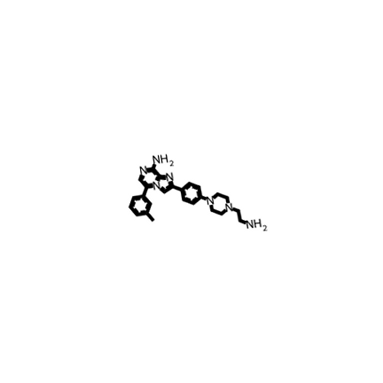 Cc1cccc(-c2cnc(N)c3nc(-c4ccc(N5CCN(CCN)CC5)cc4)cn23)c1